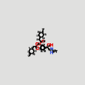 CC1CCC(CC(=O)Oc2ccc(C(O)CNC(C)C)cc2OC(=O)CC2CCC(C)CC2)CC1